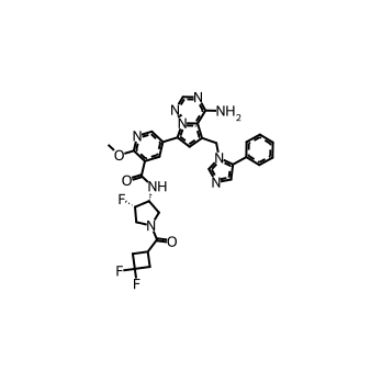 COc1ncc(-c2cc(Cn3cncc3-c3ccccc3)c3c(N)ncnn23)cc1C(=O)N[C@@H]1CN(C(=O)C2CC(F)(F)C2)C[C@@H]1F